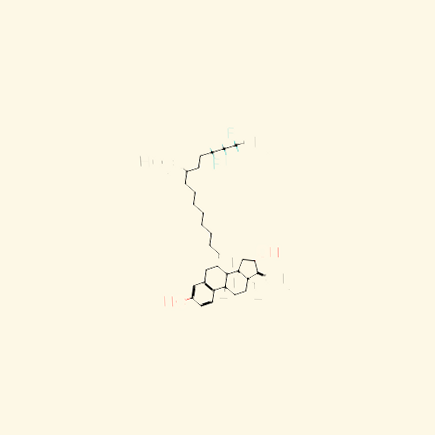 C=C1[C@H](O)C[C@H]2[C@@H]3[C@H](CCCCCCCCC(CCC(F)(F)C(F)(F)C(F)(F)C(F)(F)F)C(=O)O)[C@@H](F)c4cc(O)ccc4[C@H]3CC[C@]12C